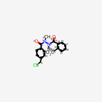 CN(C(=O)c1ccc(CCl)cc1)N(C(=O)c1ccccc1C(=O)O)C(C)(C)C